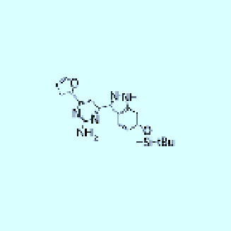 CC(C)(C)[Si](C)(C)Oc1ccc2c(-c3cc(-c4ccco4)nc(N)n3)n[nH]c2c1